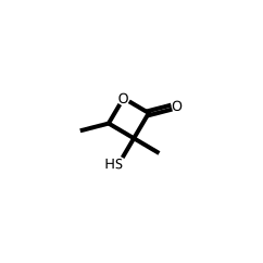 CC1OC(=O)C1(C)S